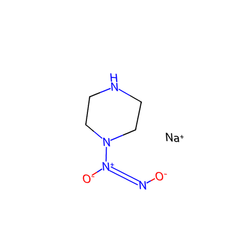 [Na+].[O-]/N=[N+](/[O-])N1CCNCC1